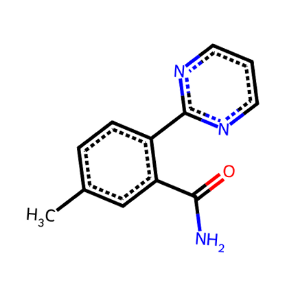 Cc1ccc(-c2ncccn2)c(C(N)=O)c1